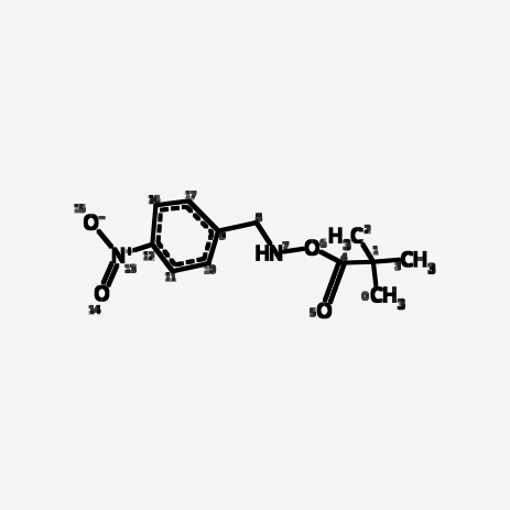 CC(C)(C)C(=O)ONCc1ccc([N+](=O)[O-])cc1